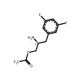 N[C@H](COC(=O)C(F)(F)F)Cc1cc(F)cc(F)c1